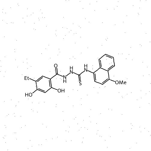 CCc1cc(C(=O)NNC(=S)Nc2ccc(OC)c3ccccc23)c(O)cc1O